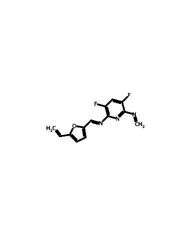 C=Cc1ccc(C=Nc2nc(N=C)c(F)cc2F)o1